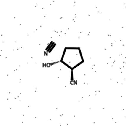 C#N.N#C[C@@H]1CCC[C@H]1O